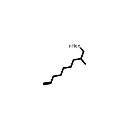 C=CCCCCCC(C)CCCCCCC